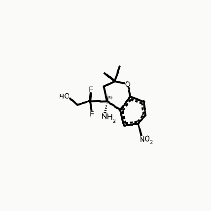 CC1(C)C[C@](N)(C(F)(F)CO)c2cc([N+](=O)[O-])ccc2O1